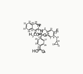 Cc1c(N(Cc2ccc(CC3CC3)c(F)c2)S(=O)(=O)c2ccc(C(=O)O)cc2)ncc2ccccc12